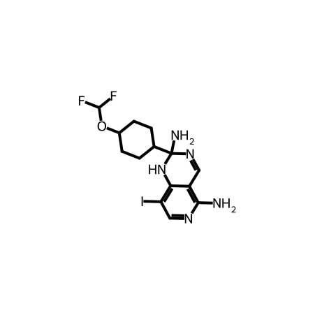 Nc1ncc(I)c2c1C=NC(N)(C1CCC(OC(F)F)CC1)N2